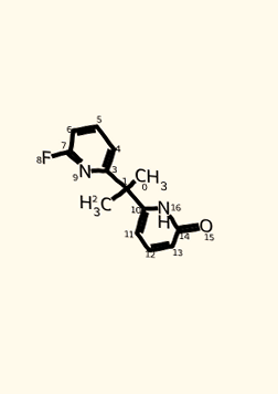 CC(C)(c1cccc(F)n1)c1cccc(=O)[nH]1